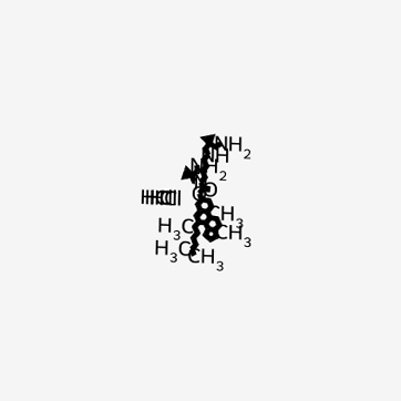 CC(C)CCC[C@@H](C)C1C=C2CC(OC(=O)N(CCCCNCC3(CN)CC3)CC3(CN)CC3)CCC2(C)C2CCC3(C)CCCC3C12.Cl.Cl.Cl